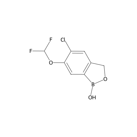 OB1OCc2cc(Cl)c(OC(F)F)cc21